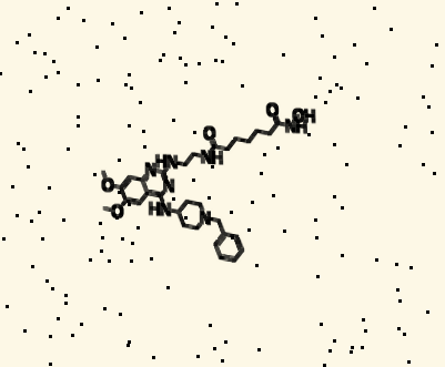 COc1cc2nc(NCCNC(=O)CCCCCC(=O)NO)nc(NC3CCN(Cc4ccccc4)CC3)c2cc1OC